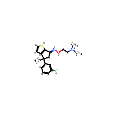 CN(C)CCON=C1CC(C)(c2cccc(Cl)c2)c2ccsc21